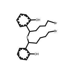 Oc1ccccc1C(CCCCBr)SC(CCCCBr)c1ccccc1O